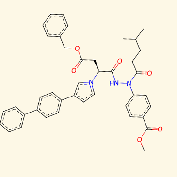 COC(=O)c1ccc(N(NC(=O)[C@H](CC(=O)OCc2ccccc2)n2ccc(-c3ccc(-c4ccccc4)cc3)c2)C(=O)CCC(C)C)cc1